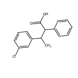 CC(c1cccc(Cl)c1)C(C(=O)O)c1ccccc1